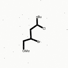 CCCCC(Cl)CC(Br)COC